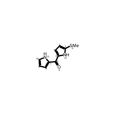 CSc1ccc(C(=O)c2ccc[nH]2)[nH]1